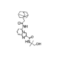 CC(C)(CO)NC(=O)c1cn2c(NC(=O)CC34CC5CC(CC(C5)C3)C4)cccc2n1